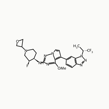 COc1nc(N[C@@H]2CCN(C3COC3)C[C@@H]2F)nn2ccc(-c3ccc4nnn([C@H](C)C(F)(F)F)c4c3)c12